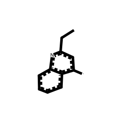 [CH2]c1cc(CC)nc2ccccc12